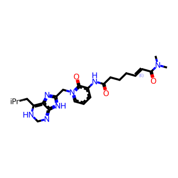 CC(C)CC1=c2nc(Cn3cccc(NC(=O)CCC/C=C/C(=O)N(C)C)c3=O)[nH]c2=NCN1